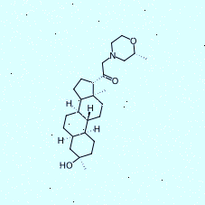 C[C@@H]1CN(CC(=O)[C@H]2CCC3[C@@H]4CC[C@@H]5C[C@](C)(O)CC[C@@H]5[C@H]4CC[C@@]32C)CCO1